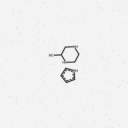 N#CC1CNCCN1.c1cc[nH]c1